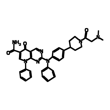 CN(C)CC(=O)N1CCC(c2ccc(N(c3ccccc3)c3ncc4c(=O)c(C(N)=O)cn(-c5ccccc5)c4n3)cc2)CC1